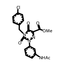 COC(=O)c1nn(-c2cccc(NC(C)=O)c2)c(=O)n(Cc2ccc(Cl)cc2)c1=O